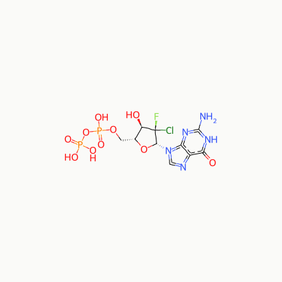 Nc1nc2c(ncn2[C@@H]2O[C@H](COP(=O)(O)OP(=O)(O)O)[C@@H](O)[C@]2(F)Cl)c(=O)[nH]1